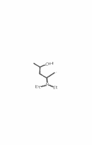 [CH2]C(CC(C)O)N(CC)CC